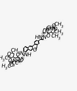 COC(=O)NC(C(=O)N1[C@@H](C)CC[C@H]1c1ncc(-c2ccc3c(c2)COc2cc4c(ccc5nc([C@@H]6CC[C@H](C)N6C(=O)C(NC(=O)OC)C6CC(C)O[C@H](C)C6)[nH]c54)cc2-3)[nH]1)C(C)C